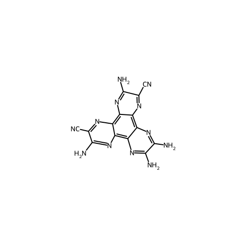 N#Cc1nc2c3nc(N)c(N)nc3c3nc(N)c(C#N)nc3c2nc1N